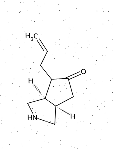 C=CCC1C(=O)C[C@H]2CNC[C@@H]12